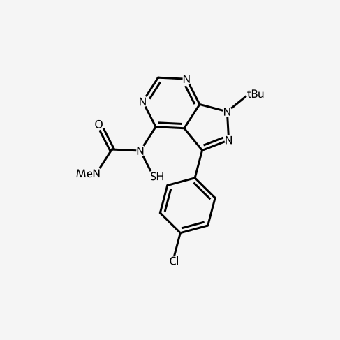 CNC(=O)N(S)c1ncnc2c1c(-c1ccc(Cl)cc1)nn2C(C)(C)C